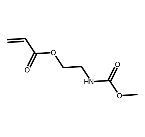 C=CC(=O)OCCNC(=O)OC